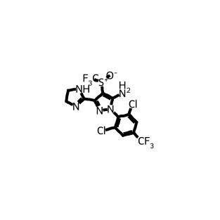 Nc1c([S+]([O-])C(F)(F)F)c(C2=NCCN2)nn1-c1c(Cl)cc(C(F)(F)F)cc1Cl